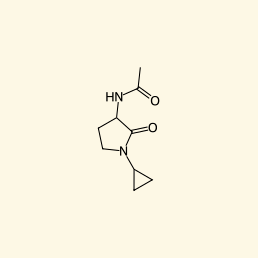 CC(=O)NC1CCN(C2CC2)C1=O